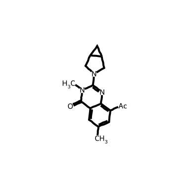 CC(=O)c1cc(C)cc2c(=O)n(C)c(N3CC4CC4C3)nc12